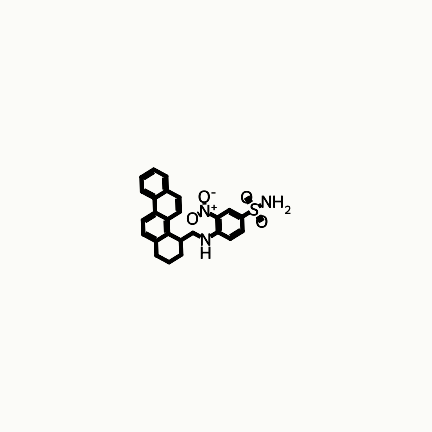 NS(=O)(=O)c1ccc(NCC2CCCc3ccc4c(ccc5ccccc54)c32)c([N+](=O)[O-])c1